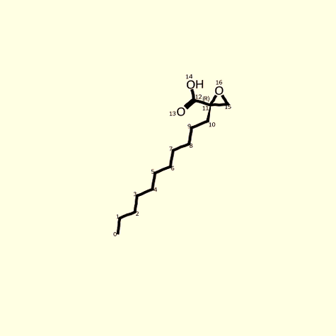 CCCCCCCCCCC[C@]1(C(=O)O)CO1